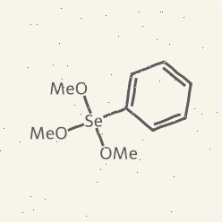 CO[Se](OC)(OC)c1ccccc1